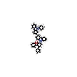 c1ccc(-c2ccc(-n3c4ccccc4c4cc(-c5ccc6c7ccccc7n(-c7ccccc7)c6c5)ccc43)c3oc4ccccc4c23)cc1